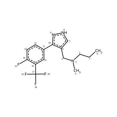 CCCN(C)Cc1c[nH]nc1-c1ccc(F)c(C(F)(F)F)c1